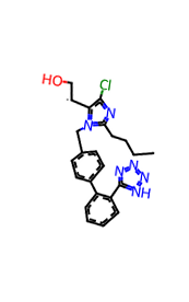 CCCCc1nc(Cl)c([CH]CO)n1Cc1ccc(-c2ccccc2-c2nnn[nH]2)cc1